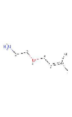 CC(C)=CCOCCN